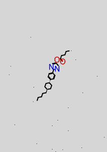 CCCCC[C@H]1CC[C@H](c2ccc(-c3ncc(OC(=O)CCCC)cn3)cc2)CC1